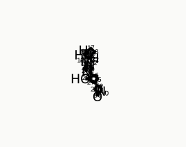 CN1C[C@H](c2ccc(-c3cnc(N(C)[C@@H]4C[C@H]5CC[C@H](N5)[C@@H]4F)cn3)c(O)c2)CC1=O